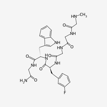 CNCC(=O)NCC(=O)NCC(=O)N[C@@H](Cc1cccc(F)c1)C(=O)N[C@@H](Cc1c[nH]c2ccccc12)C(=O)NCC(N)=O